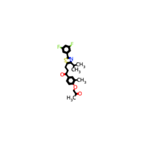 CC(=O)COc1ccc(C(=O)CCc2sc(-c3cc(F)cc(F)c3)nc2C(C)C)cc1C